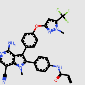 C=CC(=O)Nc1ccc(-c2c(-c3ccc(Oc4cc(C(F)(F)F)n(C)n4)cc3)c3c(N)ncc(C#N)c3n2C)cc1